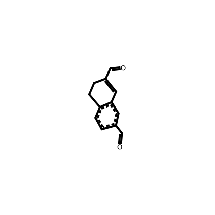 O=CC1=Cc2cc(C=O)ccc2CC1